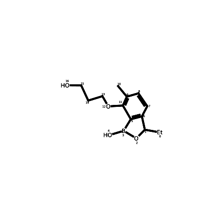 CCC1OB(O)c2c1ccc(C)c2OCCCO